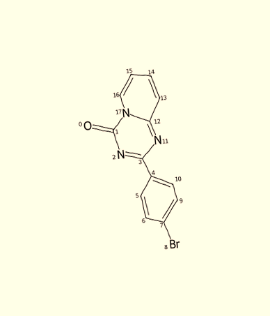 O=c1nc(-c2ccc(Br)cc2)nc2ccccn12